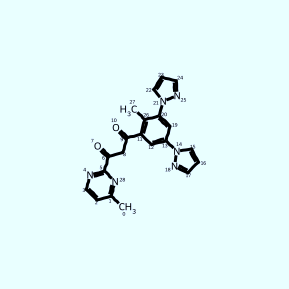 Cc1ccnc(C(=O)CC(=O)c2cc(-n3cccn3)cc(-n3cccn3)c2C)n1